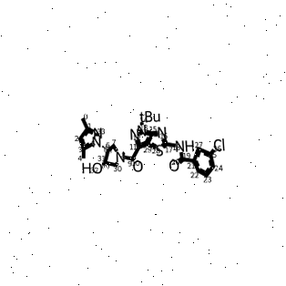 Cc1cc(C)n([C@@H]2CN(C(=O)c3nn(C(C)(C)C)c4nc(NC(=O)c5cccc(Cl)c5)sc34)C[C@H]2O)n1